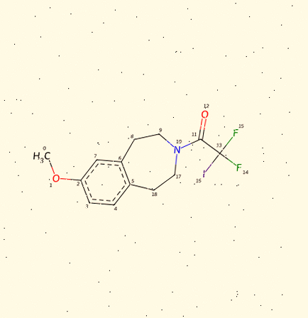 COc1ccc2c(c1)CCN(C(=O)C(F)(F)I)CC2